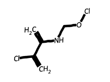 C=C(Cl)C(=C)NCOCl